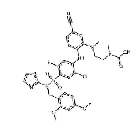 COc1ccc(CN(c2nccs2)S(=O)(=O)c2cc(Cl)c(Nc3ccc(C#N)cc3N(C)CCN(C)C(=O)O)cc2F)c(OC)c1